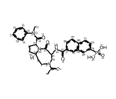 CC(=O)N1CC[C@H]2CC[C@@H](C(=O)N(C)c3ccccc3)N2C(=O)C(NC(=O)c2ccc3ccc(P(=O)(O)O)cc3c2)C1